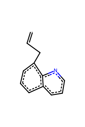 [CH]=CCc1cccc2cccnc12